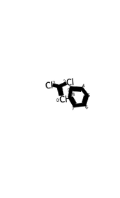 C=C(Cl)Cl.c1ccccc1